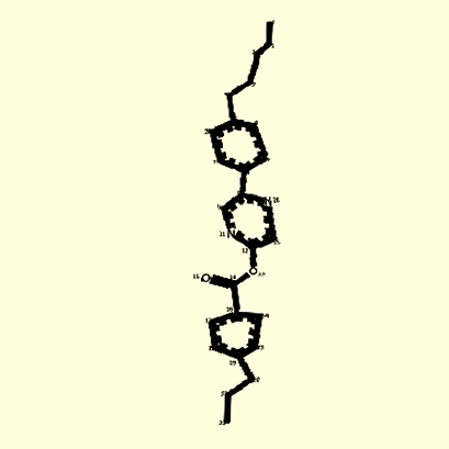 CCCCCc1ccc(-c2cnc(OC(=O)c3ccc(CCC)cc3)cn2)cc1